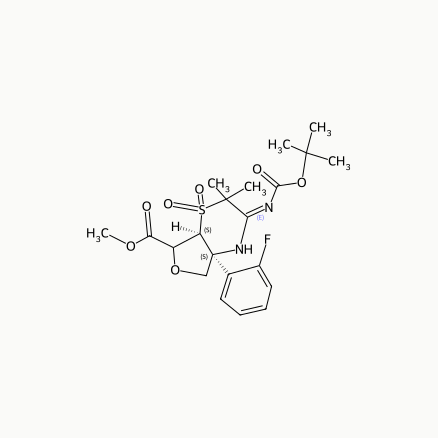 COC(=O)C1OC[C@]2(c3ccccc3F)N/C(=N/C(=O)OC(C)(C)C)C(C)(C)S(=O)(=O)[C@H]12